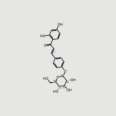 O=C(/C=C/c1ccc(O[C@@H]2O[C@H](CO)[C@@H](O)[C@H](O)[C@H]2O)cc1)c1ccc(O)cc1O